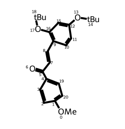 COc1ccc(C(=O)C=Cc2ccc(OC(C)(C)C)cc2OC(C)(C)C)cc1